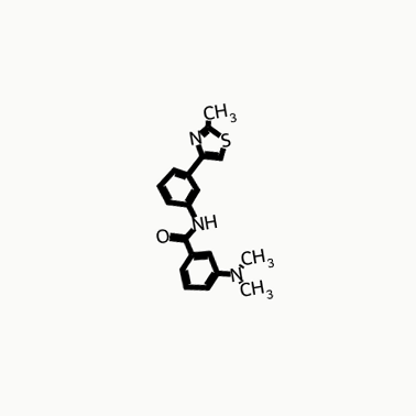 Cc1nc(-c2cccc(NC(=O)c3cccc(N(C)C)c3)c2)cs1